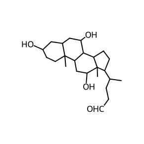 CC(CCC=O)C1CCC2C3C(O)CC4CC(O)CCC4(C)C3CC(O)C12C